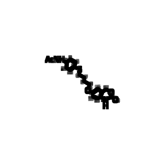 CC(=O)Nc1ccc(SCCCCOc2ccc3c(c2)COC(=O)N3)cc1